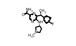 C[C@@H](c1ccc(F)cc1)c1nc(C(N)=O)cnc1N[C@@H]1CCN(C)C1